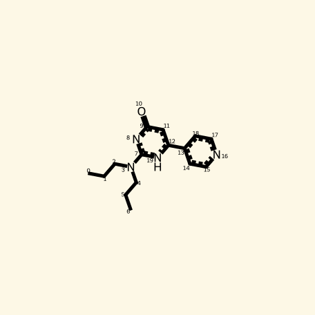 CCCN(CCC)c1nc(=O)cc(-c2ccncc2)[nH]1